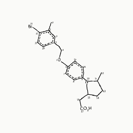 Cc1cc(COc2ccc(N3C(C)CCC3CC(=O)O)cc2)ccc1Br